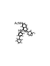 CC(=O)Nc1cnc2nc(N3CCO[C@H](C)C3)nc(Nc3ccc(C4CCCCC4)cc3)c2c1